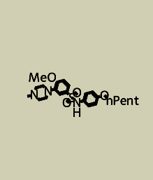 CCCCCOc1ccc(NS(=O)(=O)c2ccc(OC)c(N3CCN(C)CC3)c2)cc1